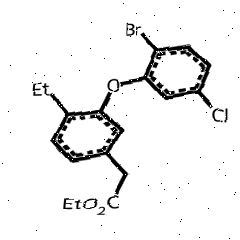 CCOC(=O)Cc1ccc(CC)c(Oc2cc(Cl)ccc2Br)c1